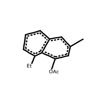 CCc1cccc2cc(C)cc(OC(C)=O)c12